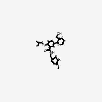 COc1ccc(CNC(=O)c2cc(-c3ncccc3CO)ccc2SCC(C)C)cc1F